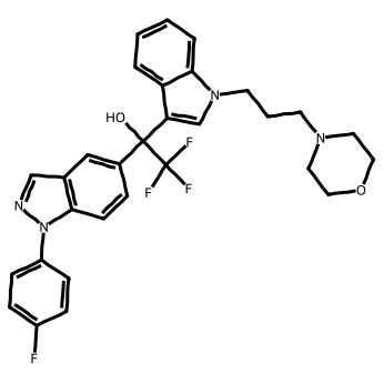 OC(c1ccc2c(cnn2-c2ccc(F)cc2)c1)(c1cn(CCCN2CCOCC2)c2ccccc12)C(F)(F)F